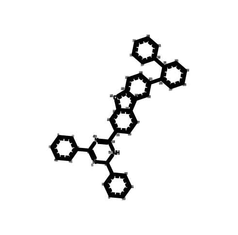 c1ccc(C2=NC(c3ccccc3)NC(c3ccc4c(c3)oc3ccc(-c5ccccc5-c5ccccc5)cc34)=N2)cc1